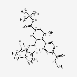 COC(=O)c1ccc(C2C(O)CN(C(=O)OC(C)(C)C)CC2CO[Si](C(C)C)(C(C)C)C(C)C)cc1